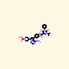 CC(C)n1nc(C(=O)Nc2ccc(-c3cc(C4CCN(C(=O)O)CC4)n4ncnc(N)c34)cc2)c(=O)n(-c2ccccc2)c1=O